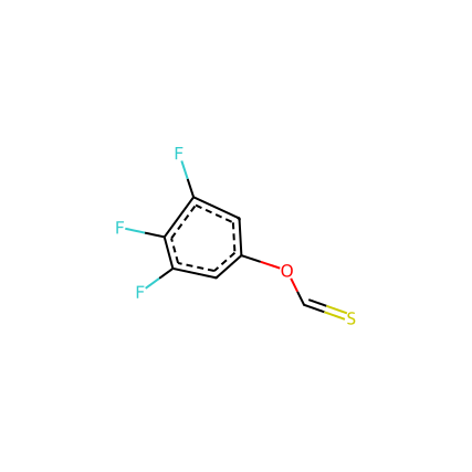 Fc1cc(OC=S)cc(F)c1F